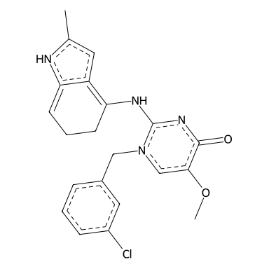 COc1cn(Cc2cccc(Cl)c2)c(NC2=c3cc(C)[nH]c3=CCC2)nc1=O